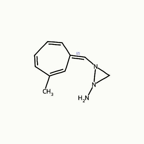 CC1=C/C(=C\N2CN2N)C=CC=C1